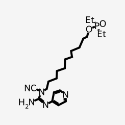 CCP(=O)(CC)OCCCCCCCCCCCN(C#N)C(N)=Nc1ccncc1